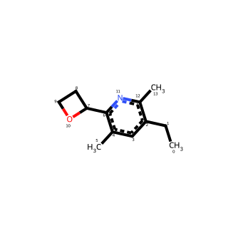 CCc1cc(C)c(C2CCO2)nc1C